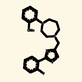 COc1ccccc1N1CCCN(Cc2csc(-c3ccccc3F)n2)CC1